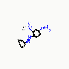 Nc1ccc(N=Nc2ccccc2)c(N)c1.[Li]